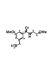 BCc1cc(OC)cc(C(=O)NCCOC)c1